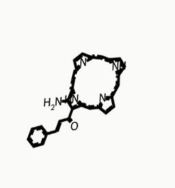 Nc1c(C(=O)C=Cc2ccccc2)c2cc3nc(cc4ccc(cc5nc(cc1[nH]2)C=C5)[nH]4)C=C3